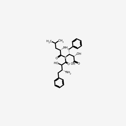 CC(C)C[C@H](N)C(=O)N(C(=O)C(O)[C@H](N)Cc1ccccc1)[C@H](Cc1ccccc1)[C@H](O)C(=O)O